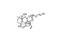 C=C[C@@]1(C)CC(=O)[C@]2(O)[C@@]3(C)[C@@H](O)CCC(C)(C)[C@@H]3[C@H](O)[C@H](OC(=O)NO/C=C/C(C)=O)[C@@]2(C)O1